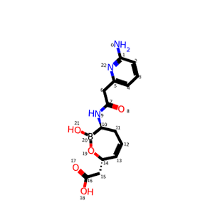 Nc1cccc(CC(=O)N[C@H]2CC=C[C@H](CC(=O)O)OB2O)n1